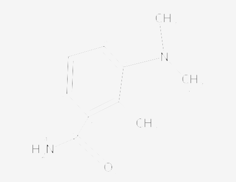 Cc1c(C(N)=O)cccc1N(C)C